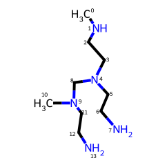 CNCCN(CCN)CN(C)CCN